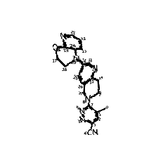 Cc1cc(C#N)nnc1N1CCc2ncc(N3CCOc4ncccc43)cc2C1